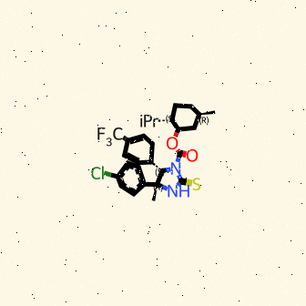 CC(C)[C@@H]1CC[C@@H](C)CC1OC(=O)N1C(=S)N[C@](C)(c2ccc(Cl)cc2)[C@@H]1C1C=CC(C(F)(F)F)=CC1